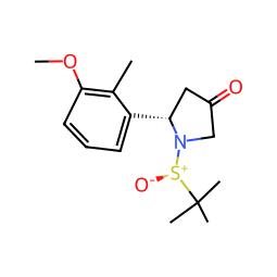 COc1cccc([C@@H]2CC(=O)CN2[S@+]([O-])C(C)(C)C)c1C